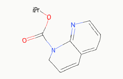 CC(C)OC(=O)N1CC=Cc2cccnc21